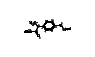 CCCCCOc1ccc(C(C)C(=O)OC)cc1